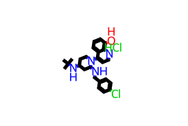 CC(C)(C)NC1CCN(c2ccnc3c(O)cccc23)C(NCc2ccc(Cl)cc2)C1.Cl